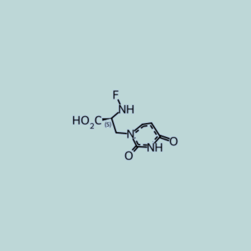 O=C(O)[C@H](Cn1ccc(=O)[nH]c1=O)NF